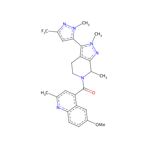 COc1ccc2nc(C)cc(C(=O)N3CCc4c(nn(C)c4-c4cc(C(F)(F)F)nn4C)C3C)c2c1